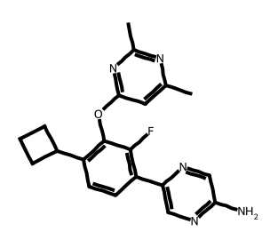 Cc1cc(Oc2c(C3CCC3)ccc(-c3cnc(N)cn3)c2F)nc(C)n1